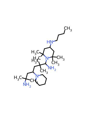 CCCCNC1CC(C)(C)N(C(N)C(C)(C)CC(CC(C)(C)N)N2CCCCC2)C(C)(C)C1